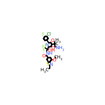 CCc1nc2c(OC)cc(C(=O)NCC(O)(c3cc4c(c(-c5ccc(F)c(Cl)c5)n3)OC[C@]4(C)C(N)=O)C(F)(F)F)cc2s1